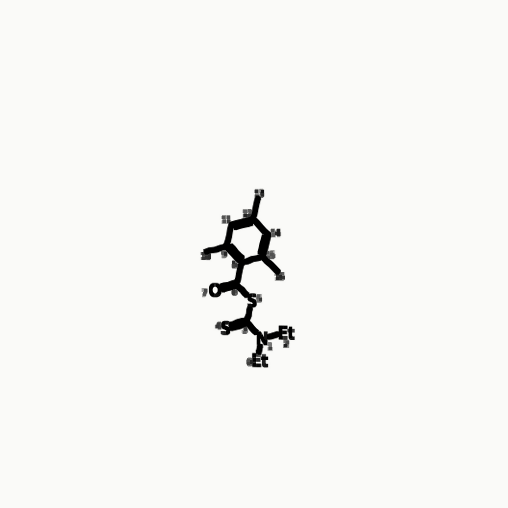 CCN(CC)C(=S)SC(=O)c1c(C)cc(C)cc1C